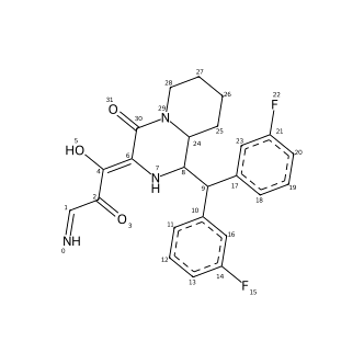 N=CC(=O)/C(O)=C1\NC(C(c2cccc(F)c2)c2cccc(F)c2)C2CCCCN2C1=O